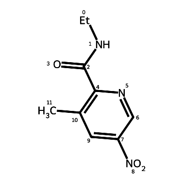 CCNC(=O)c1ncc([N+](=O)[O-])cc1C